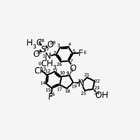 CN(c1ccc(F)c(O[C@H]2c3cc(Cl)cc(F)c3C[C@@H]2N2CC[C@@H](O)C2)c1)S(C)(=O)=O